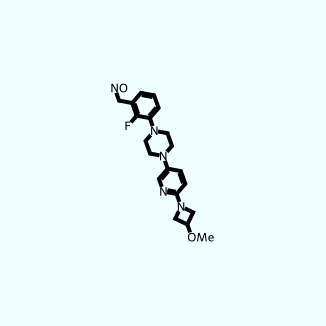 COC1CN(c2ccc(N3CCN(c4cccc(CN=O)c4F)CC3)cn2)C1